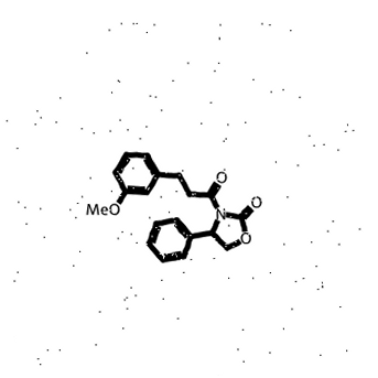 COc1cccc(CCC(=O)N2C(=O)OCC2c2ccccc2)c1